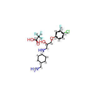 NC[C@H]1CC[C@H](NCC(O)COc2ccc(Cl)c(F)c2)CC1.O=C(O)C(F)(F)F